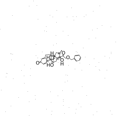 C[C@@H]1C[C@H]2[C@@H]3CCC4=CC(=O)C=C[C@]4(C)[C@@]3(F)[C@@H](O)C[C@]2(C)[C@@]1(O)C(=O)COCc1ccccc1